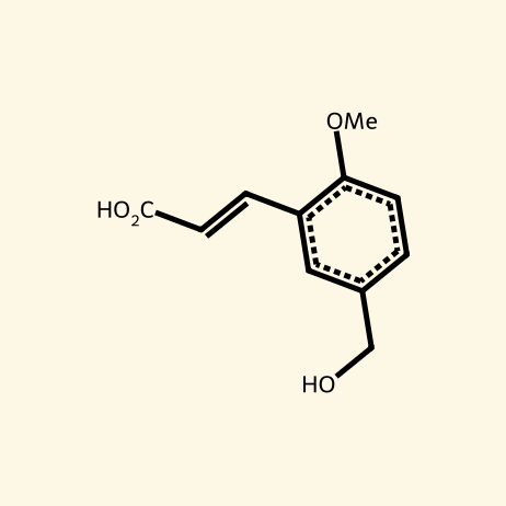 COc1ccc(CO)cc1C=CC(=O)O